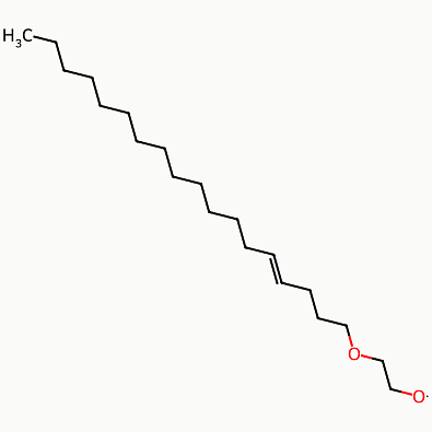 CCCCCCCCCCCCCC=CCCCOCC[O]